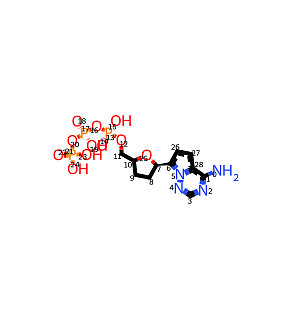 Nc1ncnn2c([C@H]3CCC(COP(=O)(O)OP(=O)(O)OP(=O)(O)O)O3)ccc12